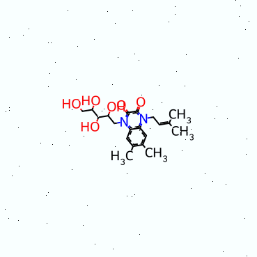 CC(C)=CCn1c(=O)c(=O)n(CC(O)C(O)C(O)CO)c2cc(C)c(C)cc21